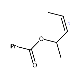 C/C=C\C(C)OC(=O)C(C)C